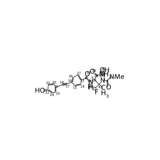 CNC(=O)NC(C)(C(F)F)[C@H](NC(=O)c1ccc(C#Cc2ccc(O)cc2)cc1)C(=O)NO